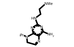 CNCCNc1nc(N)c2c(n1)N(C(C)C)CC=N2